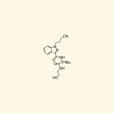 CC(C)(C)[C@H](NC(=O)c1nn(CCCC#N)c2ccccc12)C(=O)NCCO